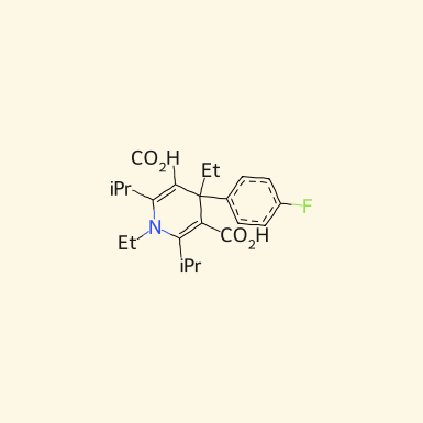 CCN1C(C(C)C)=C(C(=O)O)C(CC)(c2ccc(F)cc2)C(C(=O)O)=C1C(C)C